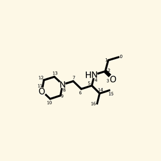 CCC(=O)NC(CCN1CCOCC1)C(C)C